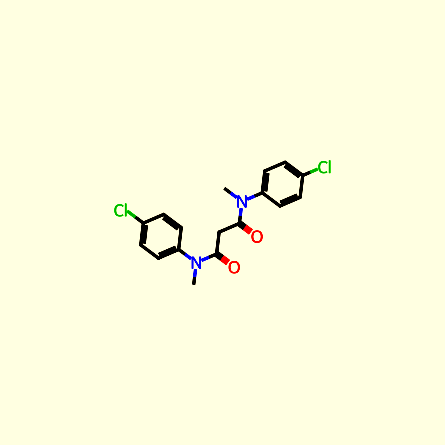 CN(C(=O)CC(=O)N(C)c1ccc(Cl)cc1)c1ccc(Cl)cc1